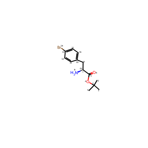 CC(C)(C)OC(=O)[C@@H](N)Cc1ccc(Br)cc1